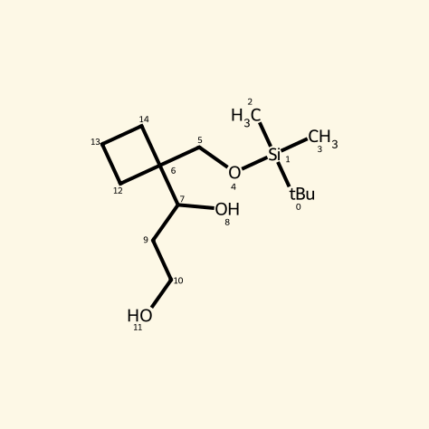 CC(C)(C)[Si](C)(C)OCC1(C(O)CCO)CCC1